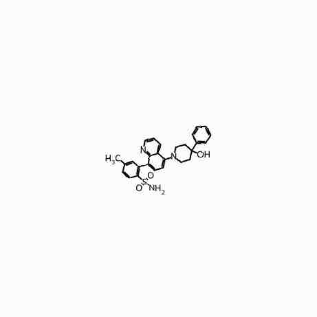 Cc1ccc(S(N)(=O)=O)c(-c2ccc(N3CCC(O)(c4ccccc4)CC3)c3cccnc23)c1